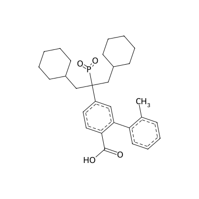 Cc1ccccc1-c1cc(C(CC2CCCCC2)(CC2CCCCC2)P(=O)=O)ccc1C(=O)O